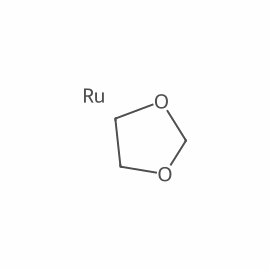 C1COCO1.[Ru]